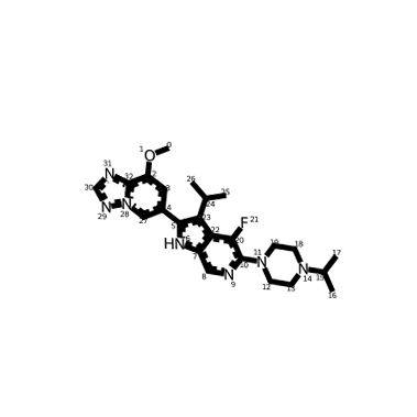 COc1cc(-c2[nH]c3cnc(N4CCN(C(C)C)CC4)c(F)c3c2C(C)C)cn2ncnc12